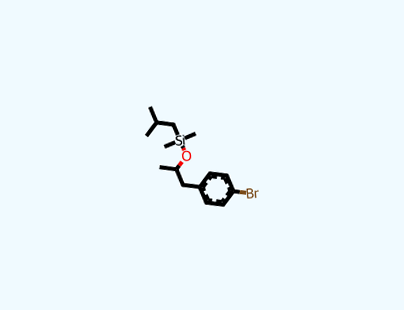 CC(C)C[Si](C)(C)OC(C)Cc1ccc(Br)cc1